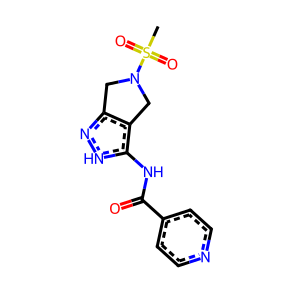 CS(=O)(=O)N1Cc2n[nH]c(NC(=O)c3ccncc3)c2C1